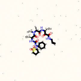 C=CCNC(=O)C(=O)[C@H](CCCC)NC(=O)[C@H](C)N(CCC)C(=O)[C@@H](NC(=O)NC1([C@@H]2CCCS2(=O)=O)CCCCC1)C(C)(C)C